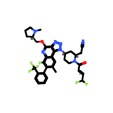 Cc1cc2c(nc(OC[C@@H]3CCCN3C)c3nnn([C@H]4CCN(C(=O)/C=C/C(F)F)[C@H](CC#N)C4)c32)c(F)c1-c1ccccc1C(F)(F)F